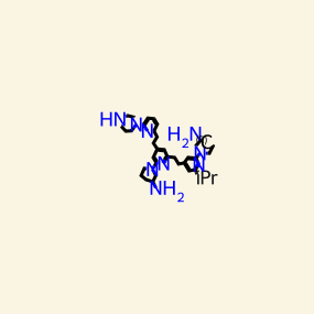 CC(C)c1cc(CCc2cc(CCc3cccc(N4CCCNCC4)n3)cc(N3CCCC(N)C3)n2)cc(N2CCC[C@@H](N)C2)n1